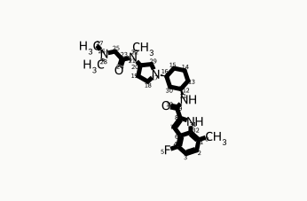 Cc1ccc(F)c2cc(C(=O)N[C@@H]3CCC[C@@H](N4CCC(N(C)C(=O)CN(C)C)C4)C3)[nH]c12